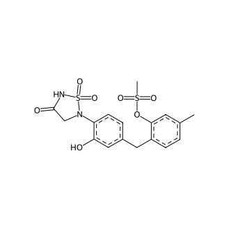 Cc1ccc(Cc2ccc(N3CC(=O)NS3(=O)=O)c(O)c2)c(OS(C)(=O)=O)c1